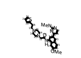 CNc1nccc(-c2cc(NC(=O)CN3CCN(CCc4cccs4)CC3)c3cc(OC)ccc3c2)n1